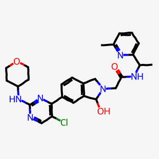 Cc1cccc(C(C)NC(=O)CN2Cc3ccc(-c4nc(NC5CCOCC5)ncc4Cl)cc3C2O)n1